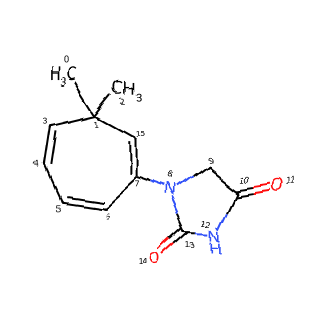 CC1(C)C=CC=CC(N2CC(=O)NC2=O)=C1